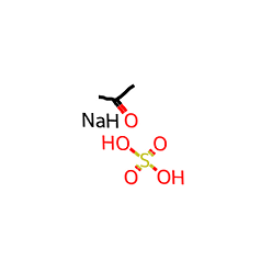 CC(C)=O.O=S(=O)(O)O.[NaH]